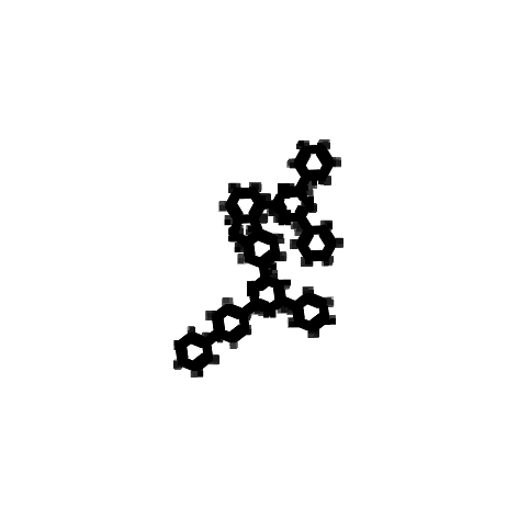 c1ccc(-c2ccc(-c3nc(-c4ccccc4)cc(-c4ccc5c(c4)sc4cccc(-c6nc(-c7ccccc7)nc(-c7ccccc7)n6)c45)n3)cc2)cc1